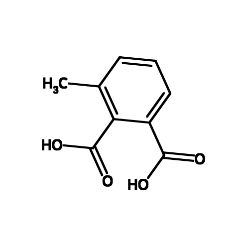 Cc1cccc(C(=O)O)c1C(=O)O